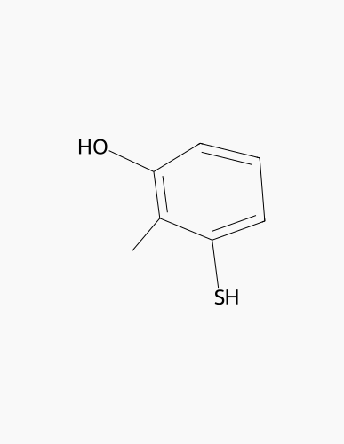 Cc1c(O)cccc1S